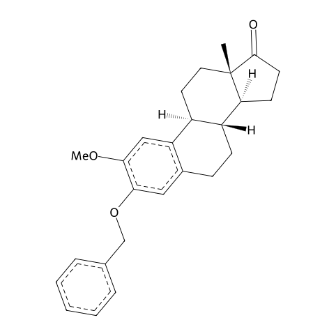 COc1cc2c(cc1OCc1ccccc1)CC[C@@H]1[C@@H]2CC[C@]2(C)C(=O)CC[C@@H]12